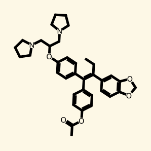 CCC(=C(c1ccc(OC(C)=O)cc1)c1ccc(OC(CN2CCCC2)CN2CCCC2)cc1)c1ccc2c(c1)OCO2